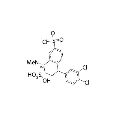 CN[C@H]1CCC(c2ccc(Cl)c(Cl)c2)c2ccc(S(=O)(=O)Cl)cc21.O=S(=O)(O)O